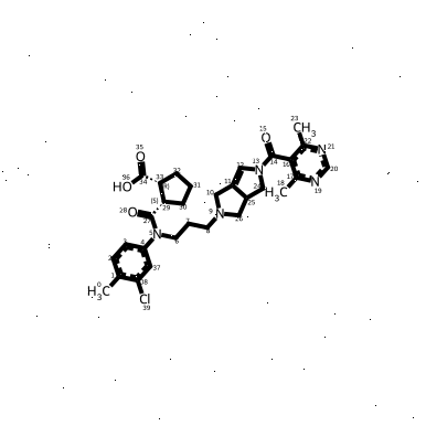 Cc1ccc(N(CCCN2CC3=CN(C(=O)c4c(C)ncnc4C)CC3C2)C(=O)[C@H]2CCC[C@H]2C(=O)O)cc1Cl